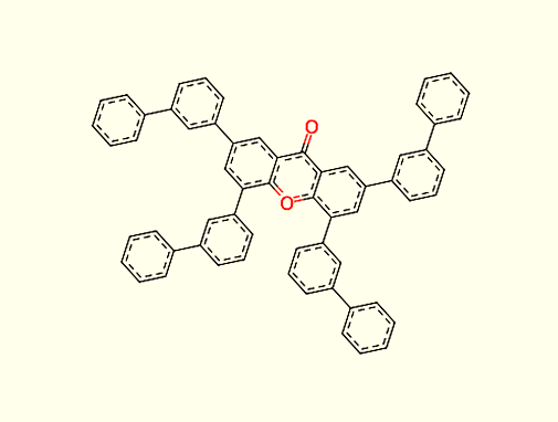 O=c1c2cc(-c3cccc(-c4ccccc4)c3)cc(-c3cccc(-c4ccccc4)c3)c2oc2c(-c3cccc(-c4ccccc4)c3)cc(-c3cccc(-c4ccccc4)c3)cc12